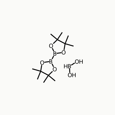 CC1(C)OB(B2OC(C)(C)C(C)(C)O2)OC1(C)C.OBO